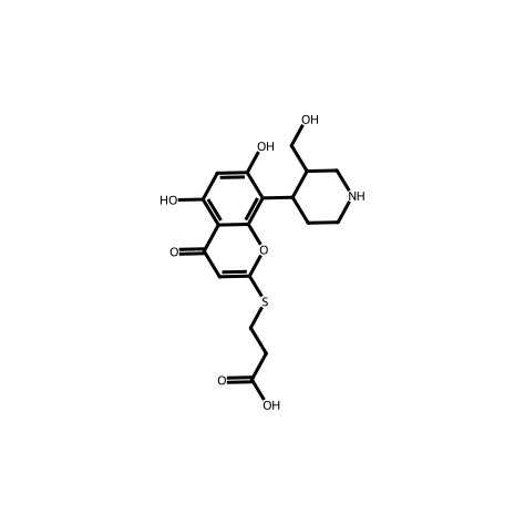 O=C(O)CCSc1cc(=O)c2c(O)cc(O)c(C3CCNCC3CO)c2o1